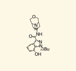 CC[C@H](C)n1nc(C(=O)NC2CC3COCC(C2)N3)c2cccc(O)c21